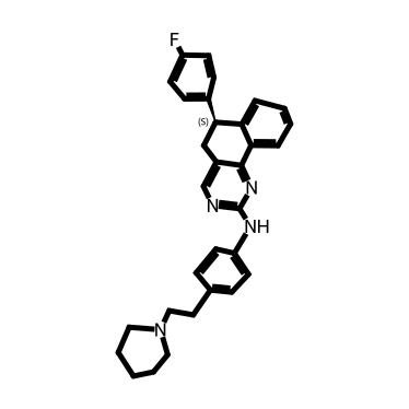 Fc1ccc([C@@H]2Cc3cnc(Nc4ccc(CCN5CCCCC5)cc4)nc3-c3ccccc32)cc1